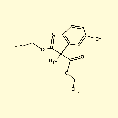 CCOC(=O)C(C)(C(=O)OCC)c1cccc(C)c1